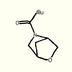 CCC(C)C(=O)N1CC2CC1CO2